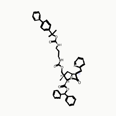 CC(C)(OC(=O)NCCCNC(=O)OC[C@]1(C)CC2/C(=C\c3ccccn3)C(=O)N2[C@H]1C(=O)OC(c1ccccc1)c1ccccc1)c1ccc(-c2ccccc2)cc1